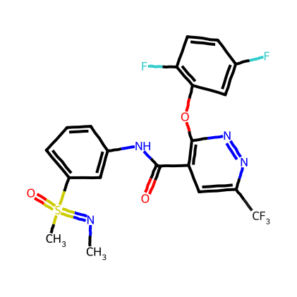 CN=S(C)(=O)c1cccc(NC(=O)c2cc(C(F)(F)F)nnc2Oc2cc(F)ccc2F)c1